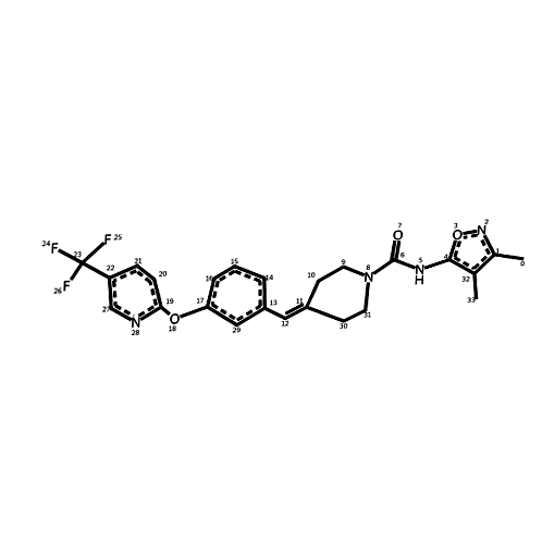 Cc1noc(NC(=O)N2CCC(=Cc3cccc(Oc4ccc(C(F)(F)F)cn4)c3)CC2)c1C